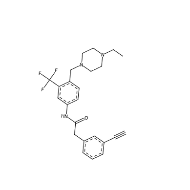 C#Cc1cccc(CC(=O)Nc2ccc(CN3CCN(CC)CC3)c(C(F)(F)F)c2)c1